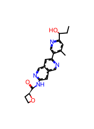 CCC(O)c1cc(C)c(-c2cc3cnc(NC(=O)[C@@H]4CCO4)cc3cn2)cn1